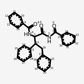 O=C(NC(=O)C(NC(=O)c1ccccc1)C(Cc1ccccc1)c1ccccc1)c1ccccc1